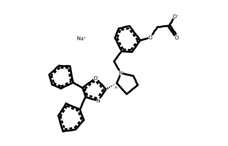 O=C([O-])COc1cccc(CN2CCC[C@@H]2c2nc(-c3ccccc3)c(-c3ccccc3)o2)c1.[Na+]